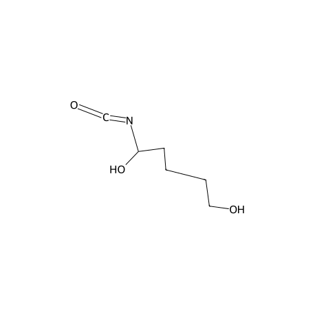 O=C=NC(O)CCCCO